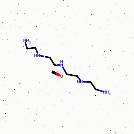 C=O.NCCNCCNCCNCCN